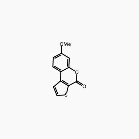 COc1ccc2c(c1)oc(=O)c1sccc12